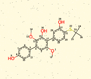 COc1cc(-c2ccc(O)cc2)c(OC)c(O)c1-c1ccc(SC(C)(C)C)c(O)c1